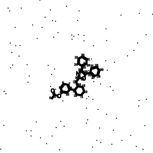 CC(=O)Oc1cccc(C2CCCCC2Cc2nc(-c3ccccc3)c(-c3ccccc3)o2)c1